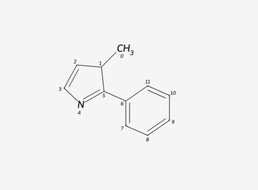 CC1C=CN=C1c1ccccc1